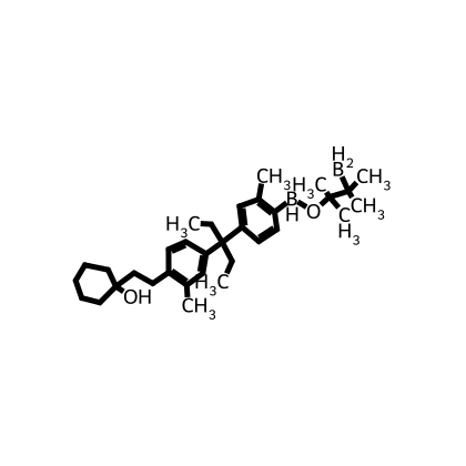 BC(C)(C)C(C)(C)OBc1ccc(C(CC)(CC)c2ccc(CCC3(O)CCCCC3)c(C)c2)cc1C